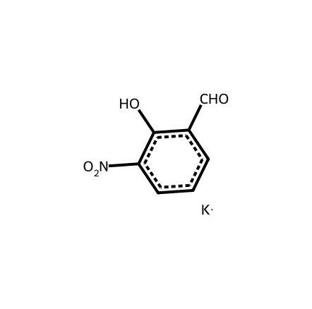 O=Cc1cccc([N+](=O)[O-])c1O.[K]